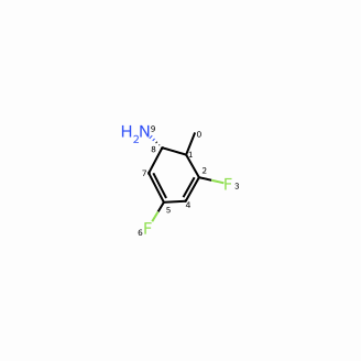 CC1C(F)=CC(F)=C[C@@H]1N